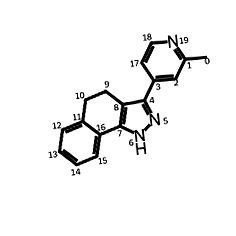 Cc1cc(-c2n[nH]c3c2CCc2ccccc2-3)ccn1